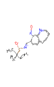 CC(C)(C)[S+]([O-])/N=C/c1ccc2cccnc2c1N=O